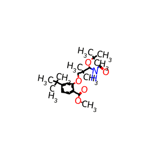 COC(=O)c1ccc(C(C)(C)C)cc1OCC(C)(C)C(NC=O)OC(C)(C)C